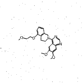 COCCOc1cccc2c1CCN(c1ncnc3cc(OC)c(OC)cc13)C2